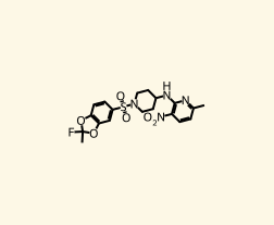 Cc1ccc([N+](=O)[O-])c(NC2CCN(S(=O)(=O)c3ccc4c(c3)OC(C)(F)O4)CC2)n1